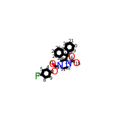 O=C(Oc1ccc(F)cc1)N1CCN2C(=O)OC(c3ccccc3)(c3ccccc3)C2C1